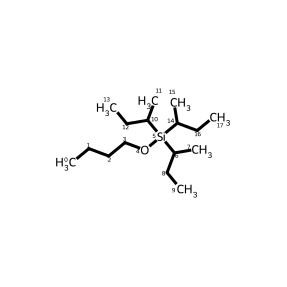 CCCCO[Si](C(C)CC)(C(C)CC)C(C)CC